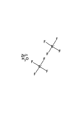 F[B-](F)(F)F.F[B-](F)(F)F.O.[Zn+2]